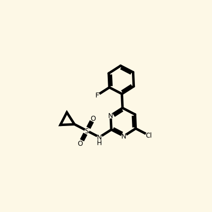 O=S(=O)(Nc1nc(Cl)cc(-c2ccccc2F)n1)C1CC1